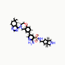 CC1(C)CCc2ncnc(N3CCOc4ccc(-c5cnc(N)c(S(=O)(=O)NCC6C[C@H]7CNC[C@H]7C6)c5)cc4C3)c2C1